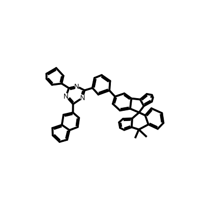 CC1(C)c2ccccc2C2(c3ccccc3-c3cc(-c4cccc(-c5nc(-c6ccccc6)nc(-c6ccc7ccccc7c6)n5)c4)ccc32)c2ccccc21